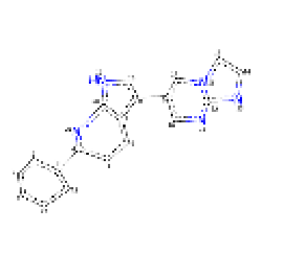 c1ccc(-c2ccc3c(-c4cnc5nccn5c4)c[nH]c3n2)cc1